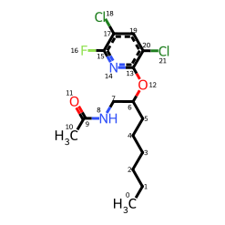 CCCCCCC(CNC(C)=O)Oc1nc(F)c(Cl)cc1Cl